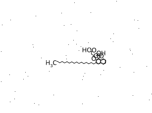 CCCCCCCCCCCCCCCCCc1cc2ccccc2c(S(=O)(=O)O)c1OCCC(=O)O